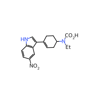 CCN(C(=O)O)C1CC=C(c2c[nH]c3ccc([N+](=O)[O-])cc23)CC1